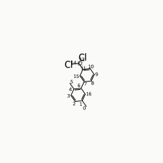 Cc1ccc(C)c(-c2cccc(C(Cl)Cl)c2)c1